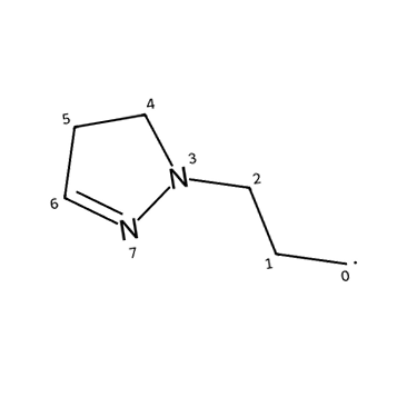 [CH2]CCN1CCC=N1